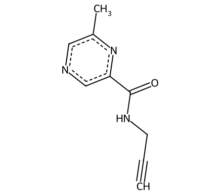 C#CCNC(=O)c1cncc(C)n1